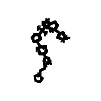 Cn1cc(-c2ccc3nnc(C(F)(F)c4cccc(-c5ncc(-c6cnn(CCN7CCCC7)c6)cn5)c4)n3n2)cn1